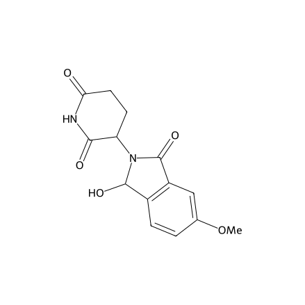 COc1ccc2c(c1)C(=O)N(C1CCC(=O)NC1=O)C2O